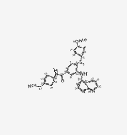 COc1ccc(Sc2ccc(C(=O)Nc3ccc(CC#N)cc3)cc2Nc2ncnc3ncccc23)cc1